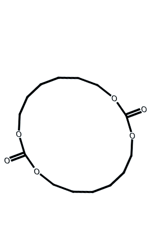 O=C1OCCCCCCOC(=O)OCCCCCCO1